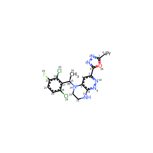 CC(C)c1nnc(-c2cc3c(nn2)NCCN3[C@H](C)c2c(Cl)ccc(F)c2Cl)o1